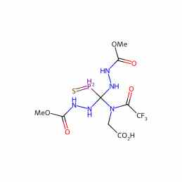 COC(=O)NNC(NNC(=O)OC)([PH2]=S)N(CC(=O)O)C(=O)C(F)(F)F